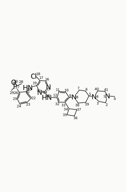 CN1CCN(C2CCN(c3ccc(Nc4ncc(Cl)c(Nc5ccccc5P(C)(C)=O)n4)cc3C3CCC3)CC2)CC1